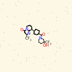 O=C(c1ccc(-c2cccn3c(=O)cc(C(F)(F)F)nc23)cc1)N1CCCC(O)(C(F)(F)F)C1